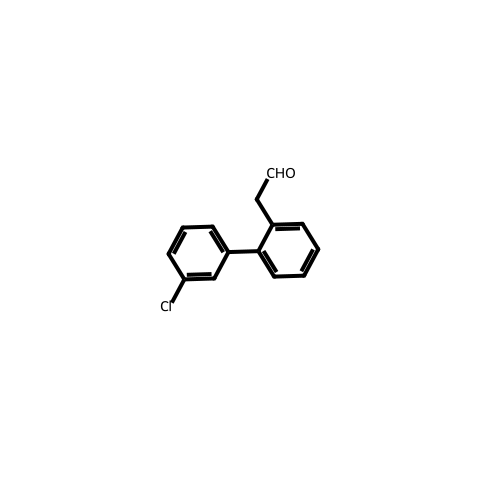 O=CCc1ccccc1-c1cccc(Cl)c1